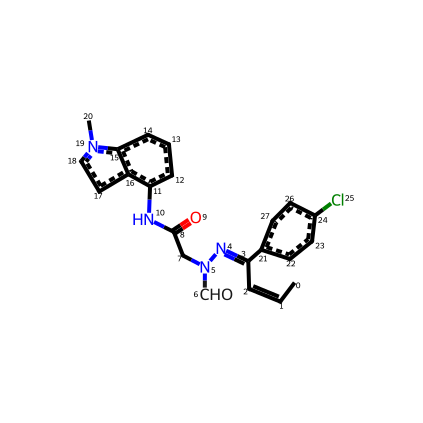 C/C=C\C(=N/N(C=O)CC(=O)Nc1cccc2c1ccn2C)c1ccc(Cl)cc1